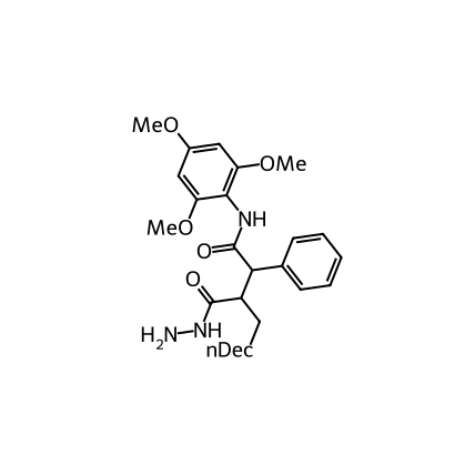 CCCCCCCCCCCC(C(=O)NN)C(C(=O)Nc1c(OC)cc(OC)cc1OC)c1ccccc1